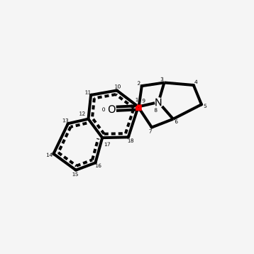 O=C1CC2CCC(C1)N2c1ccc2ccccc2c1